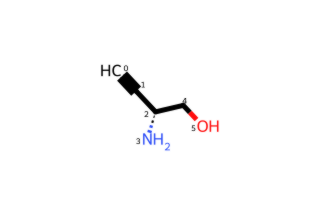 C#C[C@@H](N)CO